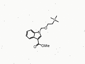 COC(=O)c1cn(COCC[Si](C)(C)C)c2ccccc12